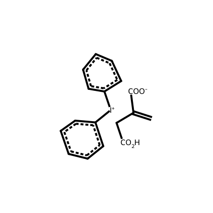 C=C(CC(=O)O)C(=O)[O-].c1ccc([I+]c2ccccc2)cc1